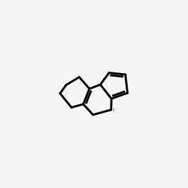 [C]1CC2=C(CCCC2)C2C=CC=C12